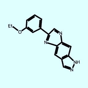 CCOc1cccc(-c2cnc3cc4[nH]ncc4cc3n2)c1